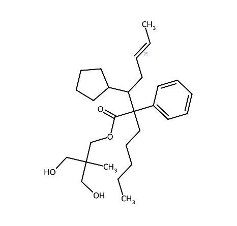 C/C=C/CC(C1CCCC1)C(CCCCC)(C(=O)OCC(C)(CO)CO)c1ccccc1